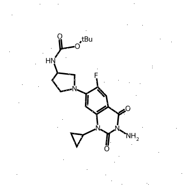 CC(C)(C)OC(=O)NC1CCN(c2cc3c(cc2F)c(=O)n(N)c(=O)n3C2CC2)C1